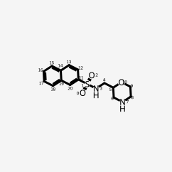 O=S(=O)(NCC1CNCCO1)c1ccc2ccccc2c1